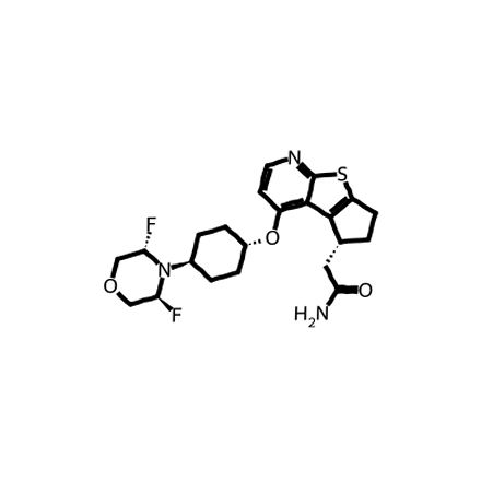 NC(=O)C[C@H]1CCc2sc3nccc(O[C@H]4CC[C@H](N5[C@@H](F)COC[C@@H]5F)CC4)c3c21